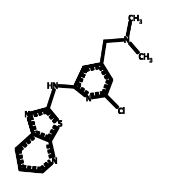 CN(C)Cc1cc(Cl)nc(Nc2nc3cccnc3s2)c1